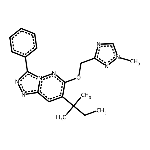 CCC(C)(C)c1cc2nnc(-c3ccccc3)n2nc1OCc1ncn(C)n1